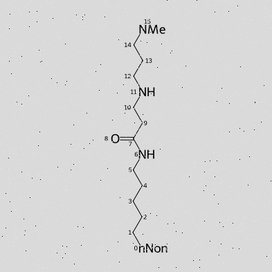 CCCCCCCCCCCCCCNC(=O)CCNCCCNC